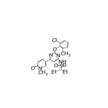 CCC(CC)S(=O)(=O)Nc1cc(-c2ccc(=O)n(C)c2)nc(Oc2c(C)cccc2Cl)n1